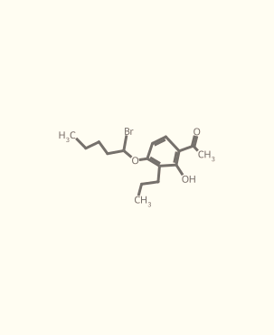 CCCCC(Br)Oc1ccc(C(C)=O)c(O)c1CCC